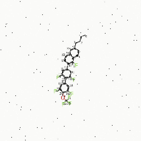 CCCCc1ccc2c(F)c(-c3cc(F)c(-c4cc(F)c(OC(F)(F)F)c(F)c4)c(F)c3)ccc2c1